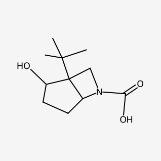 CC(C)(C)C12CN(C(=O)O)C1CCC2O